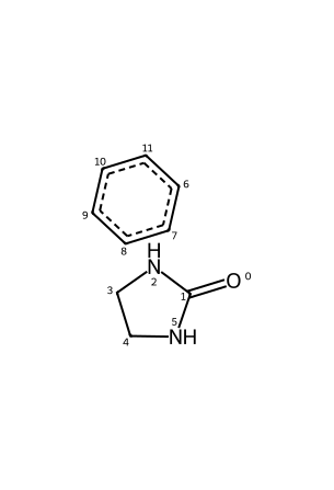 O=C1NCCN1.c1ccccc1